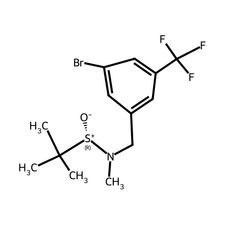 CN(Cc1cc(Br)cc(C(F)(F)F)c1)[S@@+]([O-])C(C)(C)C